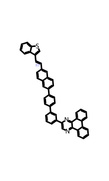 C(=C\c1csc2ccccc12)/c1ccc2cc(-c3ccc(-c4cccc(-c5cnc6c7ccccc7c7ccccc7c6n5)c4)cc3)ccc2c1